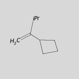 C=C(C(C)C)C1CCC1